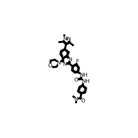 Cc1nn(C)c(C)c1-c1ccc2c(N3CCOCC3)nc(-c3ccc(NC(=O)Nc4ccc(C(=O)N(C)C)cc4)cc3F)nc2c1